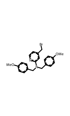 COc1ccc(CN(Cc2ccc(OC)cc2)c2cc(CBr)ccn2)cc1